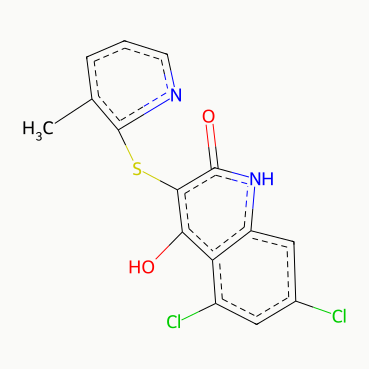 Cc1cccnc1Sc1c(O)c2c(Cl)cc(Cl)cc2[nH]c1=O